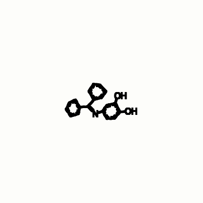 Oc1ccc(N=C(c2ccccc2)c2ccccc2)cc1O